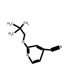 CC(C)(C)COc1cc(C#N)ccn1